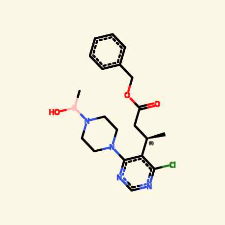 CB(O)N1CCN(c2ncnc(Cl)c2[C@H](C)CC(=O)OCc2ccccc2)CC1